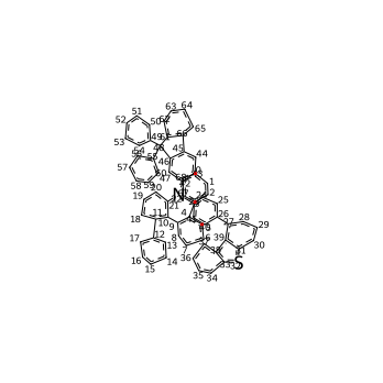 c1ccc(-c2ccccc2-c2c(-c3ccccc3)cccc2N(c2ccc(-c3cccc4sc5ccccc5c34)cc2)c2ccc3c(c2)C(c2ccccc2)(c2ccccc2)c2ccccc2-3)cc1